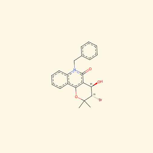 CC1(C)Oc2c(c(=O)n(Cc3ccccc3)c3ccccc23)[C@@H](O)[C@@H]1Br